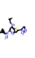 c1cc(-c2cc3nc(NC4CC4)cc(NCC4CC4)c3s2)[nH]n1